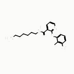 Cc1c(Nc2ncccc2C(=O)NCCCCCCN)cccc1C(F)(F)F